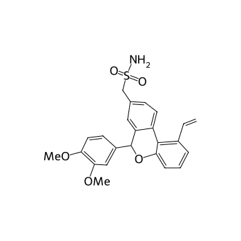 C=Cc1cccc2c1-c1ccc(CS(N)(=O)=O)cc1C(c1ccc(OC)c(OC)c1)O2